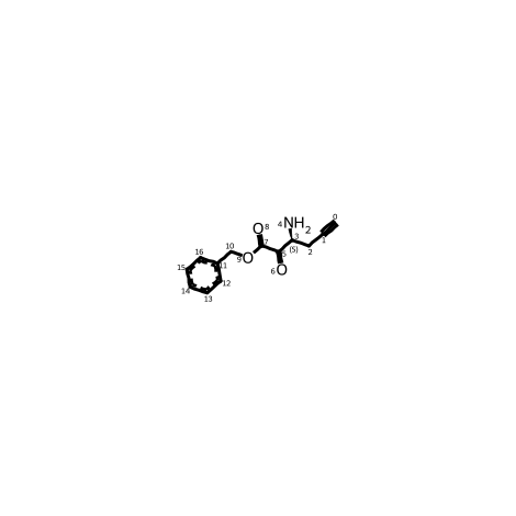 C#CC[C@H](N)C(=O)C(=O)OCc1ccccc1